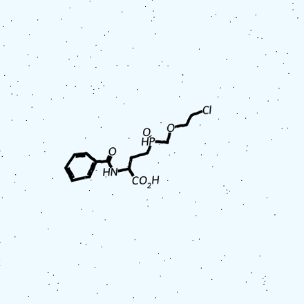 O=C(NC(CC[PH](=O)COCCCl)C(=O)O)c1ccccc1